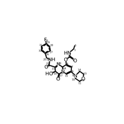 CCNC(=O)OC1=CC(N2CCOCC2)=CN2C(=O)C(O)C(C(=O)NCc3ccc(F)cc3)=NC12